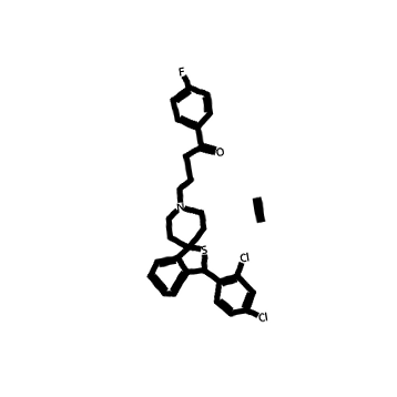 C=C.O=C(CCCN1CCC2(CC1)SC(c1ccc(Cl)cc1Cl)c1ccccc12)c1ccc(F)cc1